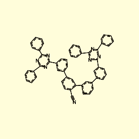 N#Cc1ccc(-c2cccc(-c3nc(-c4ccccc4)nc(-c4ccccc4)n3)c2)cc1-c1cccc(-c2cccc(-c3nc(-c4ccccc4)nc(-c4ccccc4)n3)c2)c1